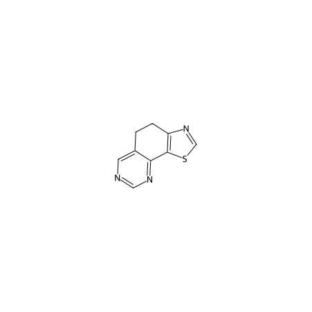 c1ncc2c(n1)-c1scnc1CC2